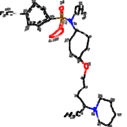 CC(CCCOC1CCC(N(C)S(=O)(=O)c2ccc(C(F)(F)F)cc2)CC1)N1CCCCC1